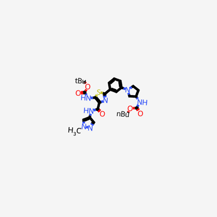 CCCCOC(=O)NC1CCN(c2cccc(-c3nc(C(=O)Nc4cnn(C)c4)c(NC(=O)OC(C)(C)C)s3)c2)C1